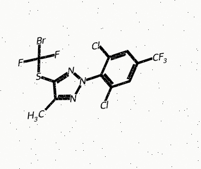 Cc1nn(-c2c(Cl)cc(C(F)(F)F)cc2Cl)nc1SC(F)(F)Br